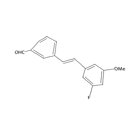 COc1cc(F)cc(/C=C/c2cccc(C=O)c2)c1